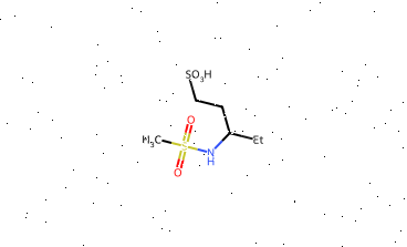 [CH2]CC(CCS(=O)(=O)O)NS(C)(=O)=O